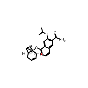 CC(C)Oc1cc2c(O[C@@]34OC5N[C@@H]3C=CC[C@@H]54)nccc2cc1C(N)=O